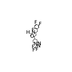 NC(CC(=O)C1CCn2c(nnc2C(F)(F)F)C1)Cc1cc(F)c(F)cc1F